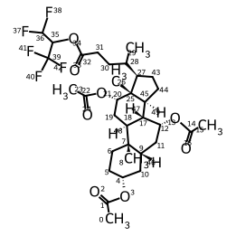 CC(=O)O[C@@H]1CC[C@@]2(C)[C@@H](C1)C[C@@H](OC(C)=O)[C@@H]1[C@@H]2C[C@H](OC(C)=O)[C@]2(C)[C@@H](C(C)CCC(=O)OC(C(F)F)C(F)(F)F)CC[C@@H]12